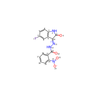 O=C1Nc2ccc(I)cc2/C1=N\NC(=O)c1ccccc1[N+](=O)[O-]